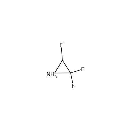 FC1CC1(F)F.N